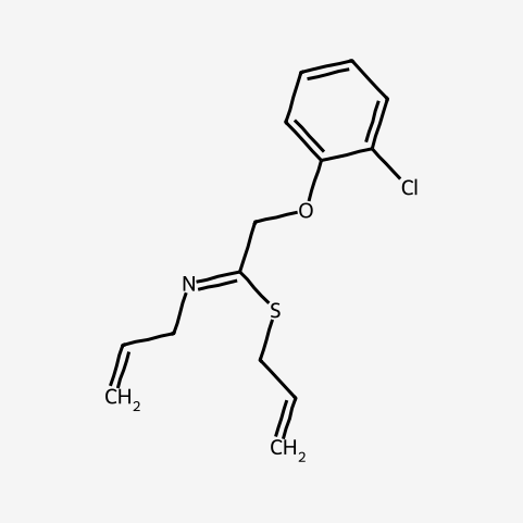 C=CCN=C(COc1ccccc1Cl)SCC=C